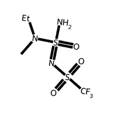 CCN(C)S(N)(=O)=NS(=O)(=O)C(F)(F)F